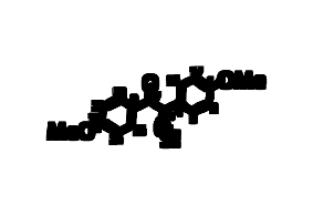 COc1ccc(C(=O)C(=O)c2ccc(OC)cc2)cc1.[Si]